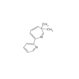 CC1(C)C=CC=C(c2ccccn2)N=C1